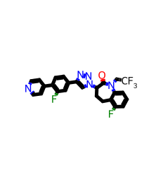 O=C1C(n2cc(-c3ccc(-c4ccncc4)c(F)c3)nn2)CCc2c(F)cccc2N1CC(F)(F)F